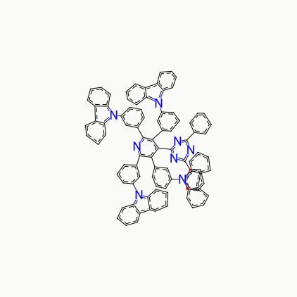 c1ccc(-c2nc(-c3ccccc3)nc(-c3c(-c4cccc(-n5c6ccccc6c6ccccc65)c4)c(-c4cccc(-n5c6ccccc6c6ccccc65)c4)nc(-c4cccc(-n5c6ccccc6c6ccccc65)c4)c3-c3cccc(-n4c5ccccc5c5ccccc54)c3)n2)cc1